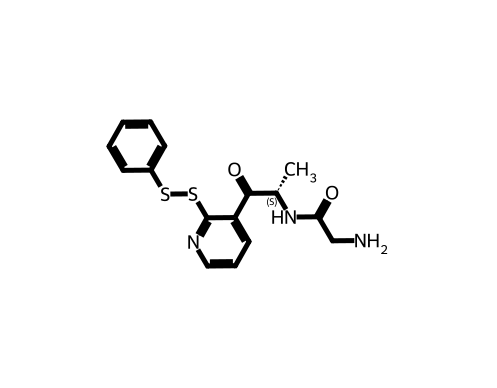 C[C@H](NC(=O)CN)C(=O)c1cccnc1SSc1ccccc1